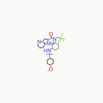 COc1ccc(C(C)(C)N[C@@H]2CCC[C@H](N(CC(F)(F)F)C(=O)c3cc4ncccc4[nH]3)C2)cc1